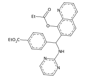 CCOC(=O)c1ccc(C(Nc2ncccn2)c2ccc3cccnc3c2OC(=O)CC)cc1